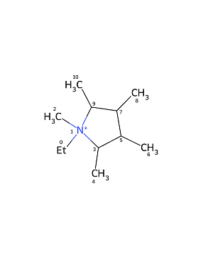 CC[N+]1(C)C(C)C(C)C(C)C1C